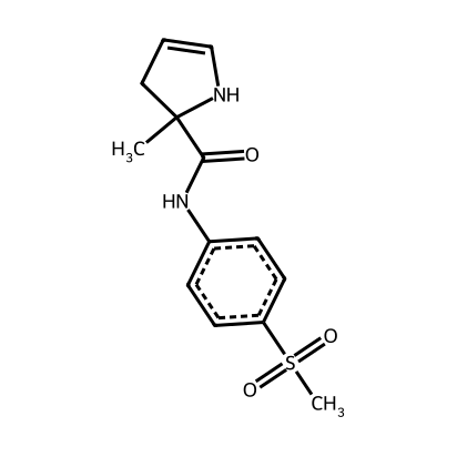 CC1(C(=O)Nc2ccc(S(C)(=O)=O)cc2)CC=CN1